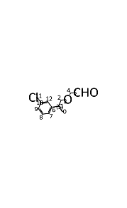 C[C@H](COCC=O)c1cccc(Cl)c1